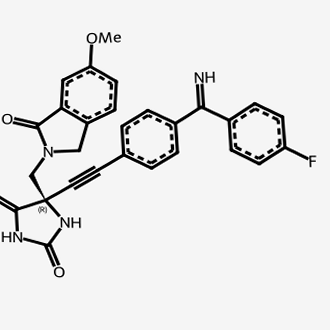 COc1ccc2c(c1)C(=O)N(C[C@@]1(C#Cc3ccc(C(=N)c4ccc(F)cc4)cc3)NC(=O)NC1=O)C2